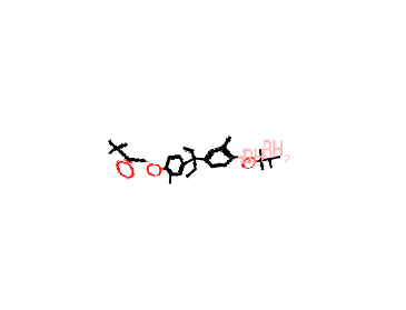 BC(C)(C)C(C)(C)OBc1ccc(C(CC)(CC)c2ccc(OCC(=O)C(C)(C)C)c(C)c2)cc1C